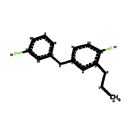 CCCc1cc(Cc2cccc(F)c2)ccc1F